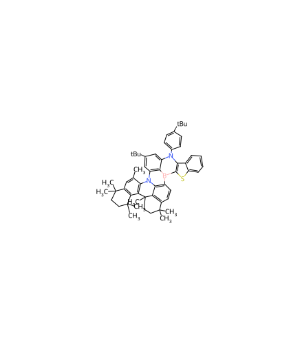 Cc1cc2c(c3c1N1c4cc(C(C)(C)C)cc5c4B(c4ccc6c(c41)C3(C)CCC6(C)C)c1sc3ccccc3c1N5c1ccc(C(C)(C)C)cc1)C(C)(C)CCC2(C)C